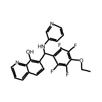 CCOc1c(F)c(F)c(C(Nc2cccnc2)c2ccc3cccnc3c2O)c(F)c1F